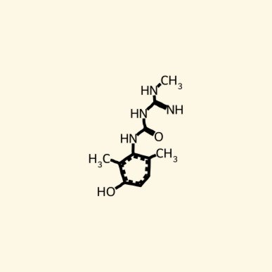 CNC(=N)NC(=O)Nc1c(C)ccc(O)c1C